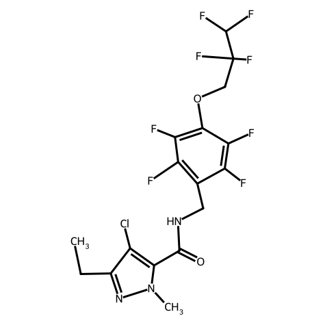 CCc1nn(C)c(C(=O)NCc2c(F)c(F)c(OCC(F)(F)C(F)F)c(F)c2F)c1Cl